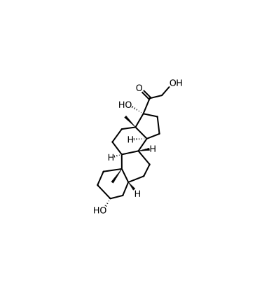 C[C@]12CC[C@@H](O)C[C@H]1CC[C@@H]1[C@@H]2CC[C@@]2(C)[C@H]1CC[C@]2(O)C(=O)CO